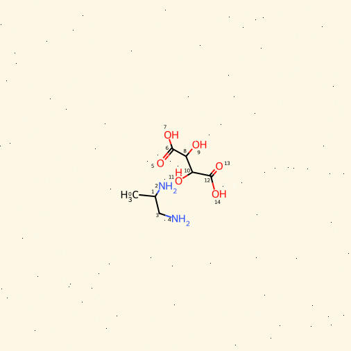 CC(N)CN.O=C(O)C(O)C(O)C(=O)O